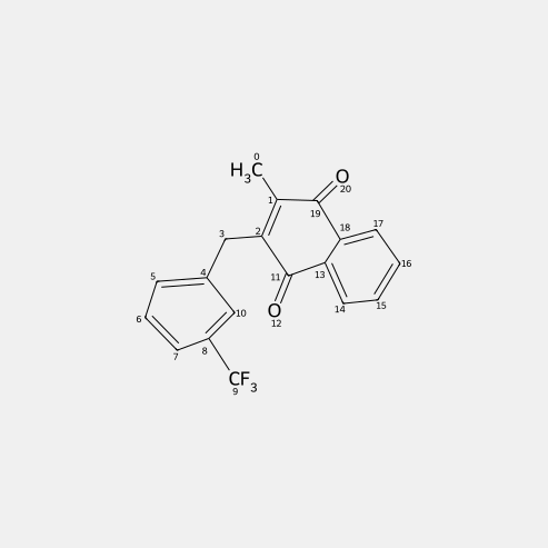 CC1=C(Cc2cccc(C(F)(F)F)c2)C(=O)c2ccccc2C1=O